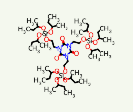 CCC(C)O[Si](OCCn1c(=O)n(CCO[Si](OC(C)CC)(OC(C)CC)OC(C)CC)c(=O)n(CCO[Si](OC(C)CC)(OC(C)CC)OC(C)CC)c1=O)(OC(C)CC)OC(C)CC